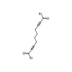 CCC(=O)C#CCCCCC#CC(=O)CC